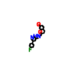 COc1ccc2c(c1)OC(CNCc1cncc(-c3ccc(F)cc3)c1)CC2